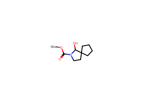 CC(C)(C)OC(=O)N1CCC2(CCCC2)C1O